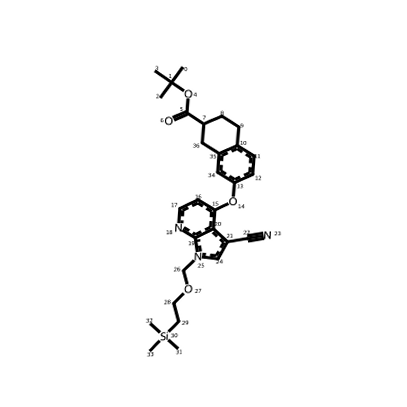 CC(C)(C)OC(=O)C1CCc2ccc(Oc3ccnc4c3c(C#N)cn4COCC[Si](C)(C)C)cc2C1